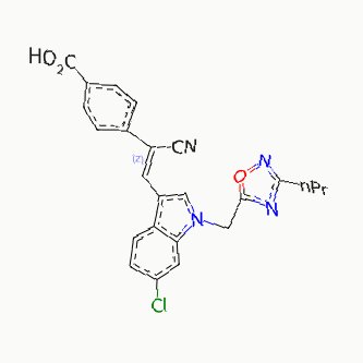 CCCc1noc(Cn2cc(/C=C(\C#N)c3ccc(C(=O)O)cc3)c3ccc(Cl)cc32)n1